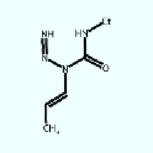 C/C=C/N(N=N)C(=O)NCC